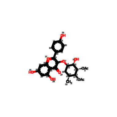 CC(=O)O[C@@H]1[C@@H](OC(C)=O)[C@@H](O)[C@H](Oc2c(-c3ccc(O)cc3)oc3cc(O)cc(O)c3c2=O)C[C@H]1C